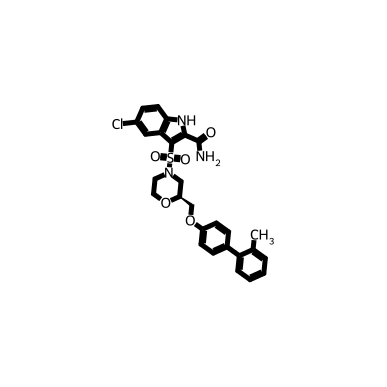 Cc1ccccc1-c1ccc(OC[C@@H]2CN(S(=O)(=O)c3c(C(N)=O)[nH]c4ccc(Cl)cc34)CCO2)cc1